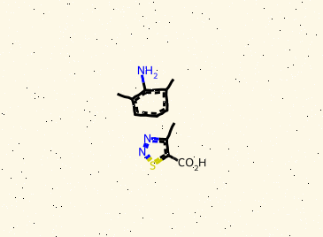 Cc1cccc(C)c1N.Cc1nnsc1C(=O)O